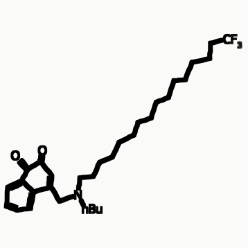 CCCCN(CCCCCCCCCCCCCCCC(F)(F)F)CC1=CC(=O)C(=O)c2ccccc21